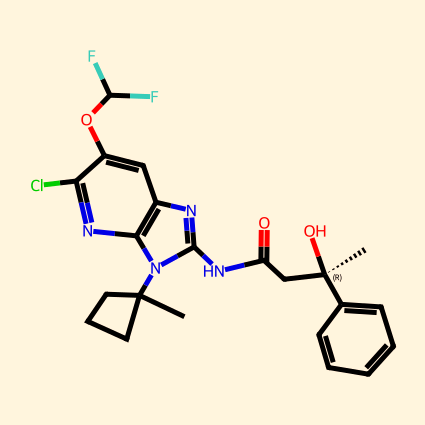 CC1(n2c(NC(=O)C[C@@](C)(O)c3ccccc3)nc3cc(OC(F)F)c(Cl)nc32)CCC1